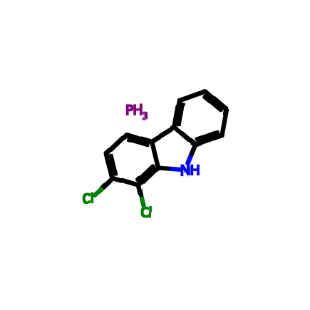 Clc1ccc2c([nH]c3ccccc32)c1Cl.P